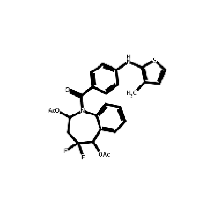 CC(=O)OC1CC(F)(F)C(OC(C)=O)c2ccccc2N1C(=O)c1ccc(Nc2sccc2C)cc1